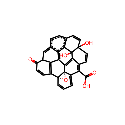 O=C(O)C1=C2C=CC3(O)C=Cc4ccc5c6c4C3(O)C2=C2C=6C3=C(C=CC(=O)C3C=5)[C@]34C=CC=C1[C@]23O4